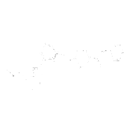 Cc1ccccc1NC(=O)N1CCC(COc2cccc(-c3sc(C(=O)O)c(OCC(=O)O)c3C)c2)CC1